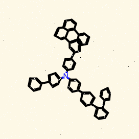 c1ccc(-c2ccc(N(c3ccc(-c4ccc(-c5ccccc5-c5ccccc5)cc4)cc3)c3ccc(-c4cccc(-c5cccc6cccc(-c7ccccc7)c56)c4)cc3)cc2)cc1